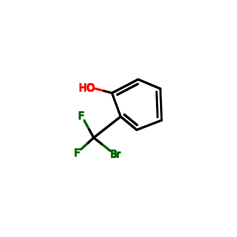 Oc1ccccc1C(F)(F)Br